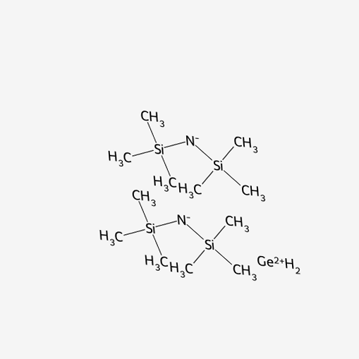 C[Si](C)(C)[N-][Si](C)(C)C.C[Si](C)(C)[N-][Si](C)(C)C.[GeH2+2]